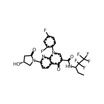 CCC(NC(=O)c1cn(-c2ccc(F)cc2F)c2nc(N3C[C@@H](O)CC3=O)ccc2c1=O)C(F)(F)C(F)(F)F